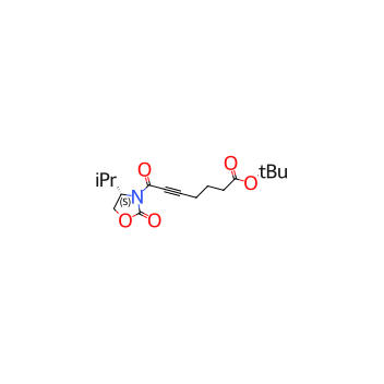 CC(C)[C@H]1COC(=O)N1C(=O)C#CCCCC(=O)OC(C)(C)C